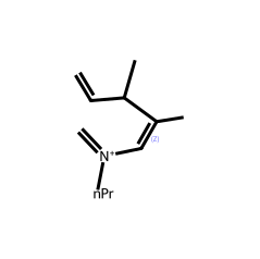 C=CC(C)/C(C)=C\[N+](=C)CCC